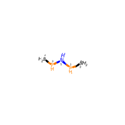 BPNPB